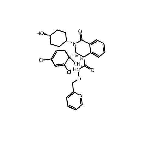 CC1([C@H]2[C@H](C(=O)NOCc3ccccn3)c3ccccc3C(=O)N2[C@H]2CC[C@H](O)CC2)CC=C(Cl)C=C1Cl